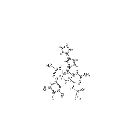 CC(=O)OC[C@H]1O[C@H](Sc2cc(Cl)c(F)c(Cl)c2)[C@H](OC(C)=O)[C@@H](n2cc(-c3cscn3)nn2)[C@H]1OC(C)=O